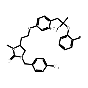 CN1C(=O)N(Cc2ccc(C(F)(F)F)cc2)CC1CCOc1ccc(CC(C)(Oc2ccccc2F)C(=O)O)cc1